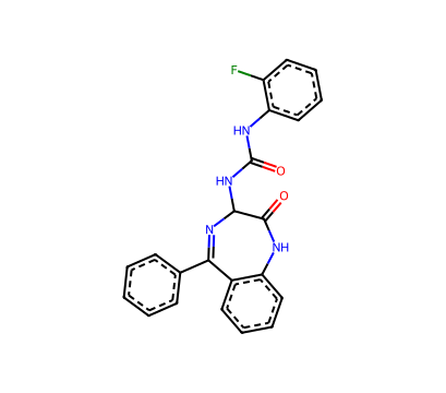 O=C(Nc1ccccc1F)NC1N=C(c2ccccc2)c2ccccc2NC1=O